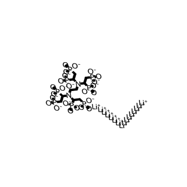 O=P([O-])([O-])CC(N(CCN(C(CP(=O)([O-])[O-])P(=O)([O-])[O-])C(CP(=O)([O-])[O-])P(=O)([O-])[O-])C(CP(=O)([O-])[O-])P(=O)([O-])[O-])P(=O)([O-])[O-].[Li+].[Li+].[Li+].[Li+].[Li+].[Li+].[Li+].[Li+].[Li+].[Li+].[Li+].[Li+].[Li+].[Li+].[Li+].[Li+]